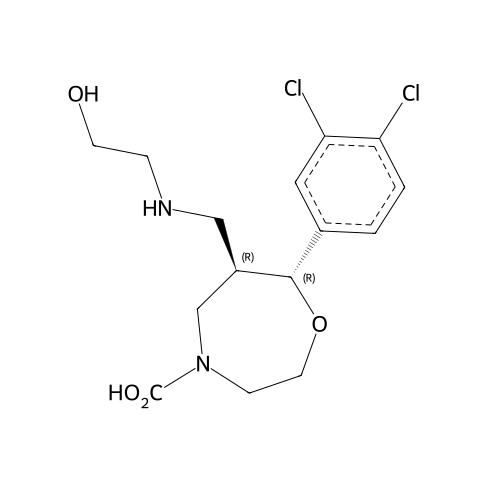 O=C(O)N1CCO[C@@H](c2ccc(Cl)c(Cl)c2)[C@H](CNCCO)C1